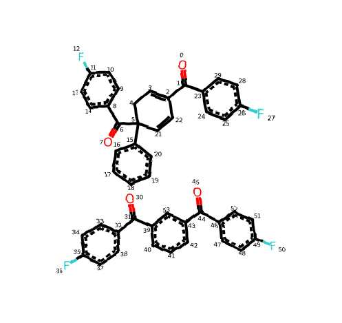 O=C(C1=CCC(C(=O)c2ccc(F)cc2)(c2ccccc2)C=C1)c1ccc(F)cc1.O=C(c1ccc(F)cc1)c1cccc(C(=O)c2ccc(F)cc2)c1